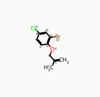 C=C(C)COc1ccc(Cl)cc1Br